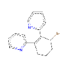 BrC1CCCC(c2ccccn2)=C1c1ccccn1